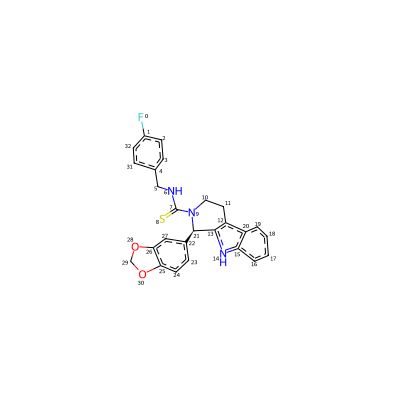 Fc1ccc(CNC(=S)N2CCc3c([nH]c4ccccc34)[C@H]2c2ccc3c(c2)OCO3)cc1